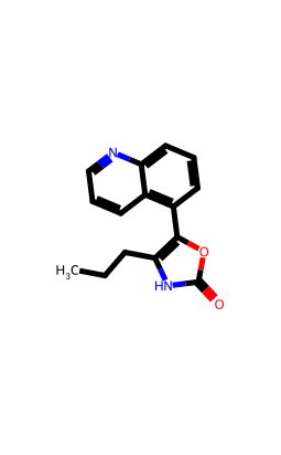 CCCc1[nH]c(=O)oc1-c1cccc2ncccc12